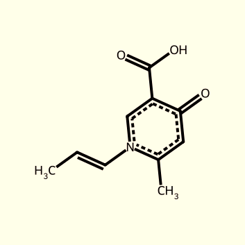 CC=Cn1cc(C(=O)O)c(=O)cc1C